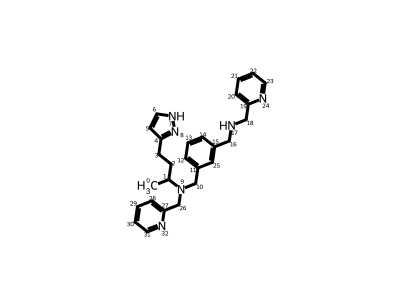 CC(CCc1cc[nH]n1)N(Cc1cccc(CNCc2ccccn2)c1)Cc1ccccn1